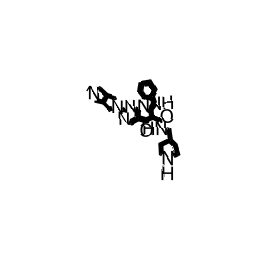 CN1CC2CN(c3ncc4c(=O)c(C(=O)NCC5CCNCC5)c5[nH]c6ccccc6n5c4n3)CC2C1